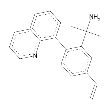 C=Cc1ccc(-c2cccc3cccnc23)c(C(C)(C)N)c1